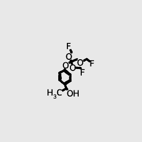 CC(O)c1ccc(OC(COCF)(OCF)OCF)cc1